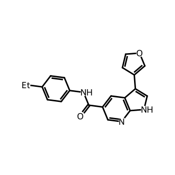 CCc1ccc(NC(=O)c2cnc3[nH]cc(-c4ccoc4)c3c2)cc1